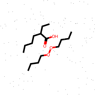 CCCCC(CC)C(=O)O.CCCCOOCCCC